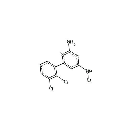 CCNc1cc(-c2cccc(Cl)c2Cl)nc(N)n1